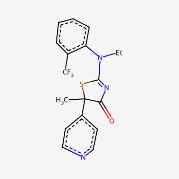 CCN(C1=NC(=O)C(C)(c2ccncc2)S1)c1ccccc1C(F)(F)F